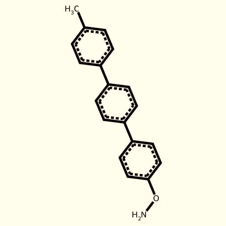 Cc1ccc(-c2ccc(-c3ccc(ON)cc3)cc2)cc1